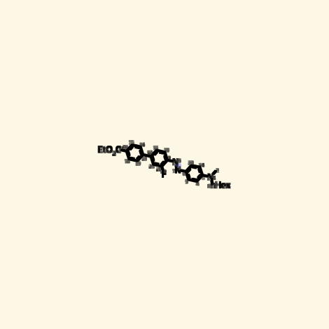 CCCCCCN(C)c1ccc(/N=N/c2ccc(-c3ccc(C(=O)OCC)cc3)cc2F)cc1